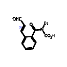 CCN(C(=O)O)C(=O)c1ccccc1/C=C/[C]=O